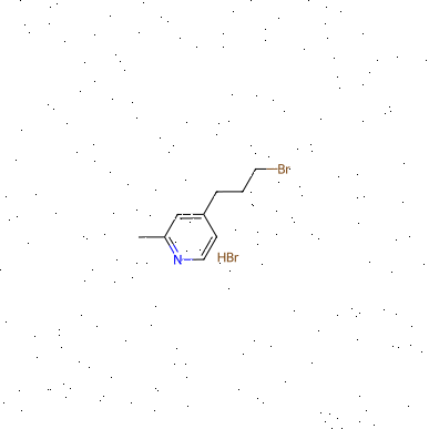 Br.Cc1cc(CCCBr)ccn1